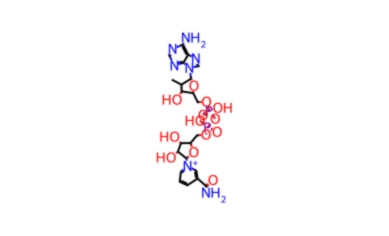 CC1C(O)C(COP(=O)(O)OP(=O)(O)OCC2OC([n+]3cccc(C(N)=O)c3)C(O)C2O)OC1n1cnc2c(N)ncnc21